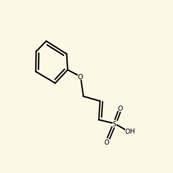 O=S(=O)(O)C=CCOc1ccccc1